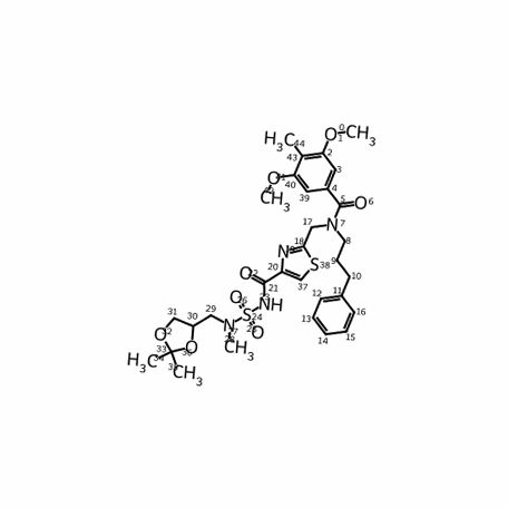 COc1cc(C(=O)N(CCCc2ccccc2)Cc2nc(C(=O)NS(=O)(=O)N(C)CC3COC(C)(C)O3)cs2)cc(OC)c1C